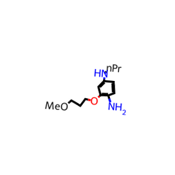 CCCNc1ccc(N)c(OCCCOC)c1